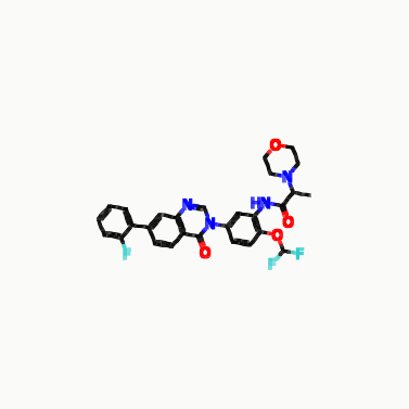 CC(C(=O)Nc1cc(-n2cnc3cc(-c4ccccc4F)ccc3c2=O)ccc1OC(F)F)N1CCOCC1